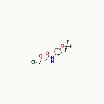 O=C(CCl)CC(=O)Nc1ccc(OC(F)(F)F)cc1